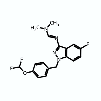 CN(C)C=Nc1nn(Cc2ccc(OC(F)F)cc2)c2ccc(F)cc12